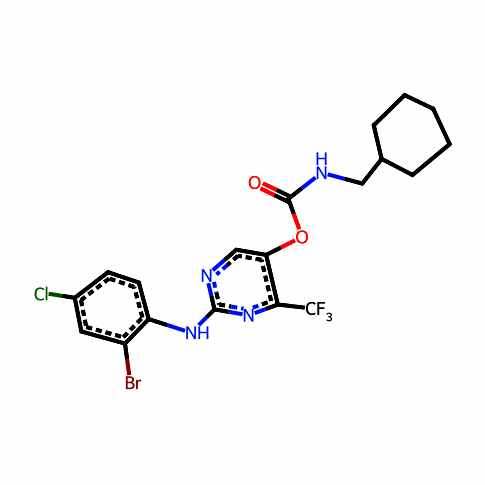 O=C(NCC1CCCCC1)Oc1cnc(Nc2ccc(Cl)cc2Br)nc1C(F)(F)F